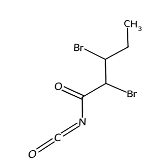 CCC(Br)C(Br)C(=O)N=C=O